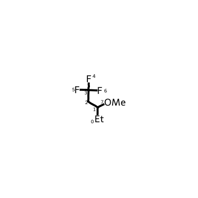 CCC(CC(F)(F)F)OC